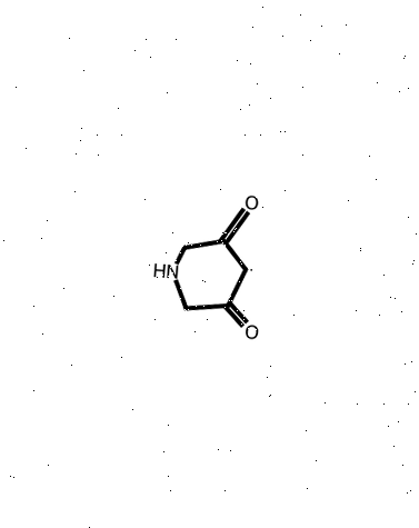 O=C1[CH]C(=O)CNC1